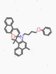 Cc1cc2c(c3ccccc13)C(C)(C)C1(C=Cc3c(ccc4ccccc34)O1)N2CCCCOc1ccccc1